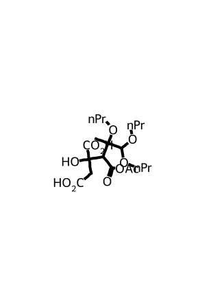 CCCOC(OCCC)C(C)(OCCC)C(C(=O)OC(C)=O)C(O)(CC(=O)O)C(=O)O